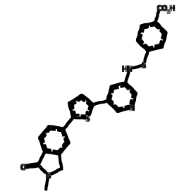 CN1Cc2cc(-c3ccc(-c4cncc(NSc5ccc(C(=O)O)cc5)c4)s3)ccc2C1=O